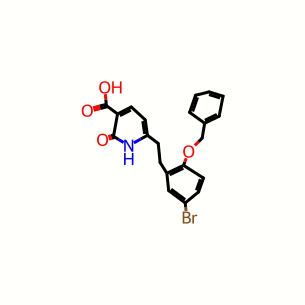 O=C(O)c1ccc(CCc2cc(Br)ccc2OCc2ccccc2)[nH]c1=O